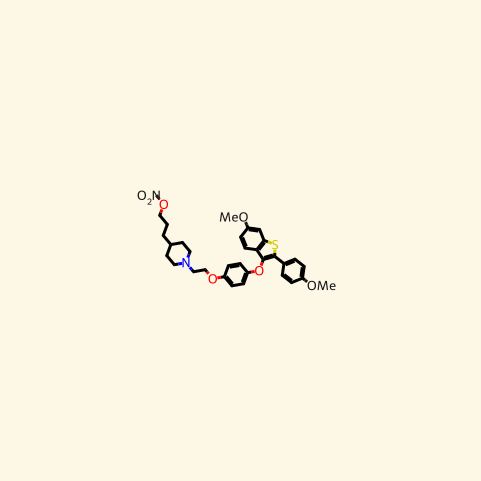 COc1ccc(-c2sc3cc(OC)ccc3c2Oc2ccc(OCCN3CCC(CCCO[N+](=O)[O-])CC3)cc2)cc1